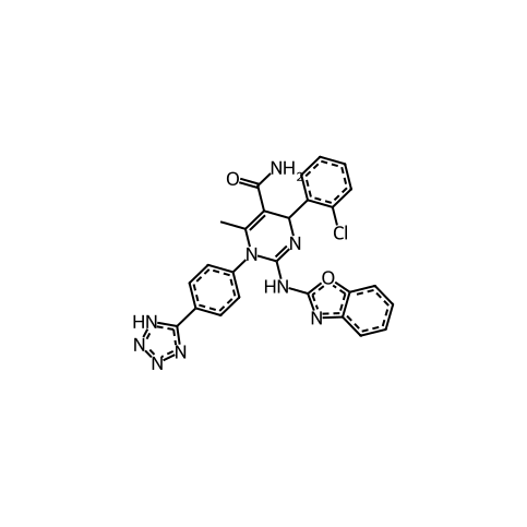 CC1=C(C(N)=O)C(c2ccccc2Cl)N=C(Nc2nc3ccccc3o2)N1c1ccc(-c2nnn[nH]2)cc1